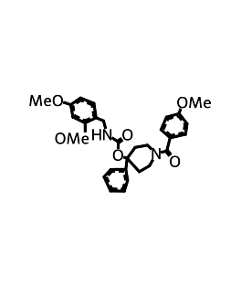 COc1ccc(C(=O)N2CCC(OC(=O)NCc3ccc(OC)cc3OC)(c3ccccc3)CC2)cc1